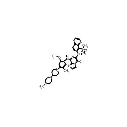 COc1cc(N2CCC(N3CCN(C)CC3)CC2)c(C)cc1Nc1nc(Nc2ccc3nccnc3c2P(C)(C)=O)c(Cl)n2ccnc12